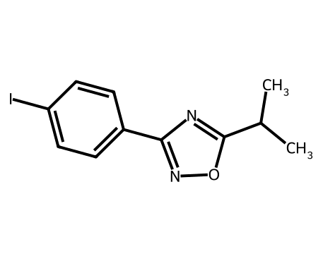 CC(C)c1nc(-c2ccc(I)cc2)no1